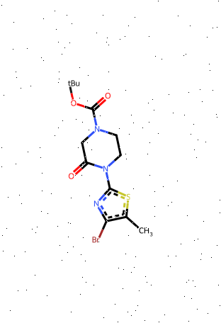 Cc1sc(N2CCN(C(=O)OC(C)(C)C)CC2=O)nc1Br